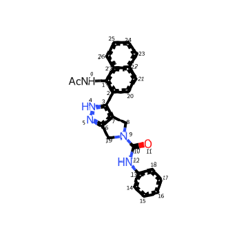 CC(=O)Nc1c(-c2[nH]nc3c2CN(C(=O)Nc2ccccc2)C3)ccc2ccccc12